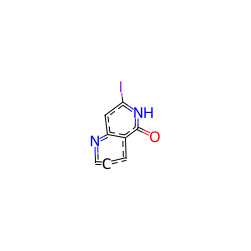 O=c1[nH]c(I)cc2ncccc12